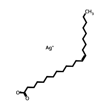 CCCCCCCC/C=C\CCCCCCCCCCCC(=O)[O-].[Ag+]